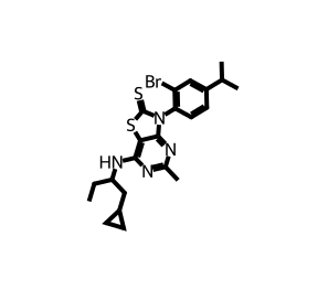 CCC(CC1CC1)Nc1nc(C)nc2c1sc(=S)n2-c1ccc(C(C)C)cc1Br